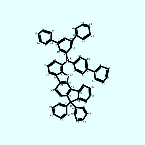 c1ccc(-c2ccc(N(c3cc(-c4ccccc4)cc(-c4ccccc4)c3)c3cccc4c3sc3c5c(ccc34)C(c3ccccc3)(c3ccccc3)c3ccccc3-5)cc2)cc1